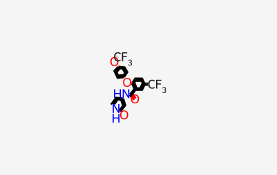 O=C(Nc1cc[nH]c(=O)c1)c1cc(C(F)(F)F)ccc1Oc1ccc(OC(F)(F)F)cc1